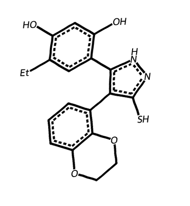 CCc1cc(-c2[nH]nc(S)c2-c2cccc3c2OCCO3)c(O)cc1O